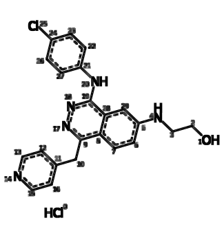 Cl.OCCNc1ccc2c(Cc3ccncc3)nnc(Nc3ccc(Cl)cc3)c2c1